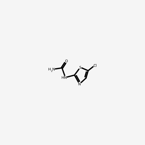 NC(=O)Nc1ncc(Cl)s1